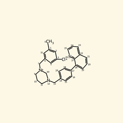 Cc1cc(Cl)cc(CN2CCCN(Cc3ccc(-c4cccc5cccnc45)cc3)C2)c1